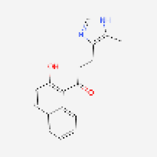 Cc1[nH]cnc1CCC(=O)c1c(O)ccc2ccccc12